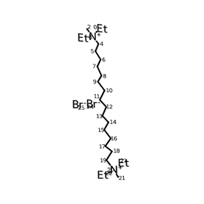 CC[N+](C)(CC)CCCCCCCCCCCCCCCC[N+](C)(CC)CC.[Br-].[Br-]